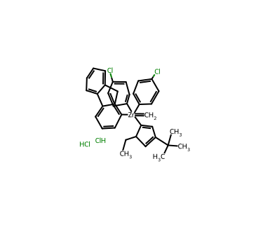 Cl.Cl.[CH2]=[Zr]([C]1=CC(C(C)(C)C)=CC1CC)([c]1ccc(Cl)cc1)([c]1ccc(Cl)cc1)[c]1cccc2c1Cc1ccccc1-2